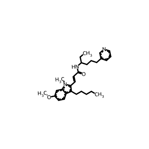 CCCCCc1c(/C=C/C(=O)NC(CC)CCCc2cccnc2)n(C)c2cc(OC)ccc12